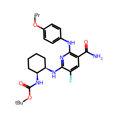 CC(C)Oc1ccc(Nc2nc(N[C@@H]3CCCC[C@@H]3NC(=O)OC(C)(C)C)c(F)cc2C(N)=O)cc1